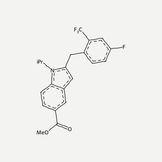 COC(=O)c1ccc2c(c1)cc(Cc1ccc(F)cc1C(F)(F)F)n2C(C)C